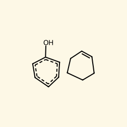 C1=CCCCC1.Oc1ccccc1